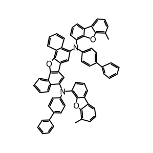 Cc1cccc2c1oc1c(N(c3ccc(-c4ccccc4)cc3)c3cc4c5cc(N(c6ccc(-c7ccccc7)cc6)c6cccc7c6oc6c(C)cccc67)c6ccccc6c5oc4c4ccccc34)cccc12